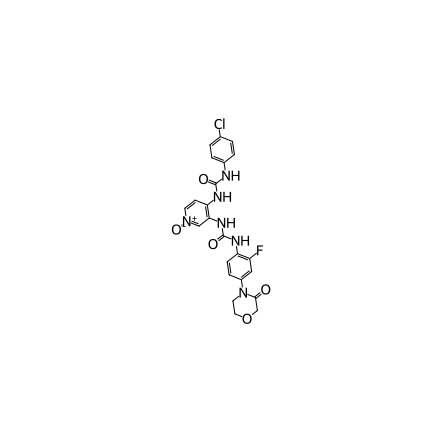 O=C(Nc1ccc(Cl)cc1)Nc1cc[n+]([O-])cc1NC(=O)Nc1ccc(N2CCOCC2=O)cc1F